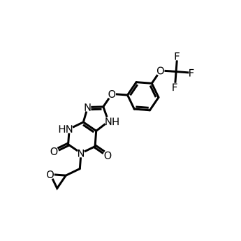 O=c1[nH]c2nc(Oc3cccc(OC(F)(F)F)c3)[nH]c2c(=O)n1CC1CO1